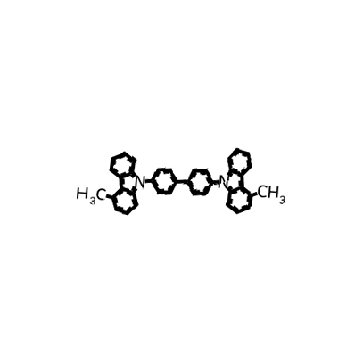 Cc1cccc2c1c1ccccc1n2-c1ccc(-c2ccc(-n3c4ccccc4c4c(C)cccc43)cc2)cc1